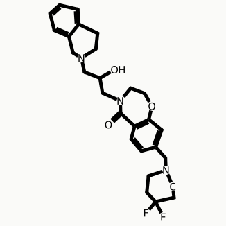 O=C1c2ccc(CN3CCC(F)(F)CC3)cc2OCCN1CC(O)CN1CCc2ccccc2C1